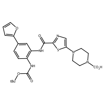 CC(C)(C)OC(=O)Nc1ccc(-c2ccco2)cc1NC(=O)c1ncc(N2CCN(C(=O)O)CC2)s1